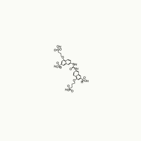 O=C(Nc1ccc2c(OCCCS(=O)(=O)O)cc(S(=O)(=O)O)cc2c1)Nc1ccc2c(OCCCS(=O)(=O)O)cc(S(=O)(=O)O)cc2c1